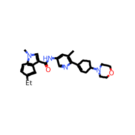 CCc1ccc2c(c1)c(C(=O)Nc1cnc(C3=CCC(N4CCOCC4)CC3)c(C)c1)cn2C